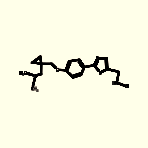 CN(C)CC1(COc2ccc(-c3ncc(CNCl)s3)cc2)CC1